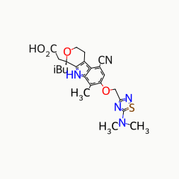 CCC(C)[C@@]1(CC(=O)O)OCCc2c1[nH]c1c(C)c(OCc3nsc(N(C)C)n3)cc(C#N)c21